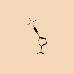 CC(=O)c1ccc(C#C[Si](C)(C)C)s1